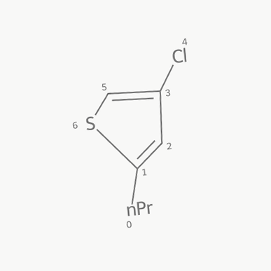 CCCc1cc(Cl)cs1